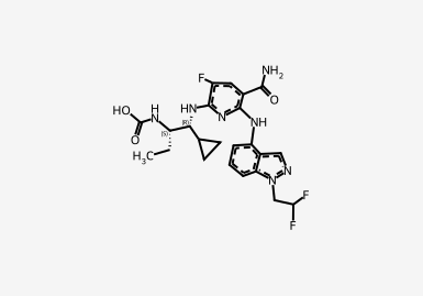 CC[C@H](NC(=O)O)[C@H](Nc1nc(Nc2cccc3c2cnn3CC(F)F)c(C(N)=O)cc1F)C1CC1